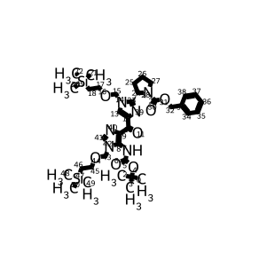 CC(C)(C)OC(=O)Nc1c(C(=O)c2cn(COCC[Si](C)(C)C)c([C@@H]3CCCN3C(=O)OCc3ccccc3)n2)ncn1COCC[Si](C)(C)C